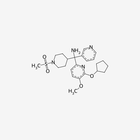 COc1ccc(C(N)(c2cccnc2)C2CCN(S(C)(=O)=O)CC2)nc1OC1CCCC1